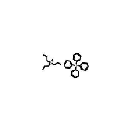 CCC[N+](C)(CCC)CCC.c1ccc([B-](c2ccccc2)(c2ccccc2)c2ccccc2)cc1